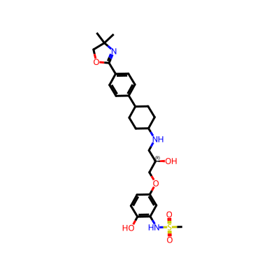 CC1(C)COC(c2ccc(C3CCC(NC[C@@H](O)COc4ccc(O)c(NS(C)(=O)=O)c4)CC3)cc2)=N1